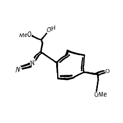 COC(=O)c1ccc(C(=[N+]=[N-])C(O)OC)cc1